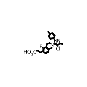 Cc1ccc(-n2nc(C)c(Cl)c2N2CCc3c(ccc(CCC(=O)O)c3F)C2)cc1